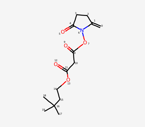 C=C1CCC(=O)N1OC(=O)CC(=O)OCCC(C)(C)C